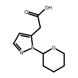 O=C(O)Cc1ccnn1C1CCCCO1